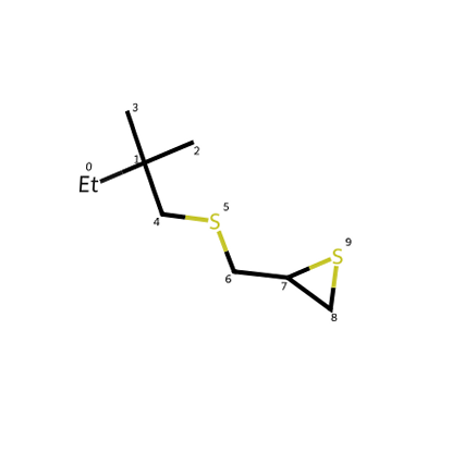 CCC(C)(C)CSCC1CS1